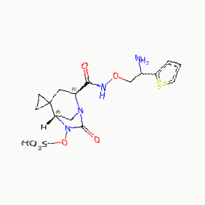 NC(CONC(=O)[C@@H]1CC2(CC2)[C@@H]2CN1C(=O)N2OS(=O)(=O)O)c1cccs1